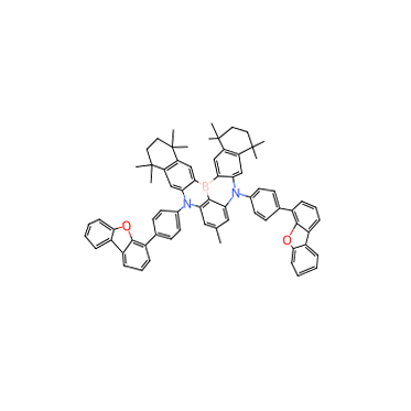 Cc1cc2c3c(c1)N(c1ccc(-c4cccc5c4oc4ccccc45)cc1)c1cc4c(cc1B3c1cc3c(cc1N2c1ccc(-c2cccc5c2oc2ccccc25)cc1)C(C)(C)CCC3(C)C)C(C)(C)CCC4(C)C